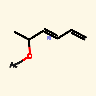 C=C/C=C/C(C)OC(C)=O